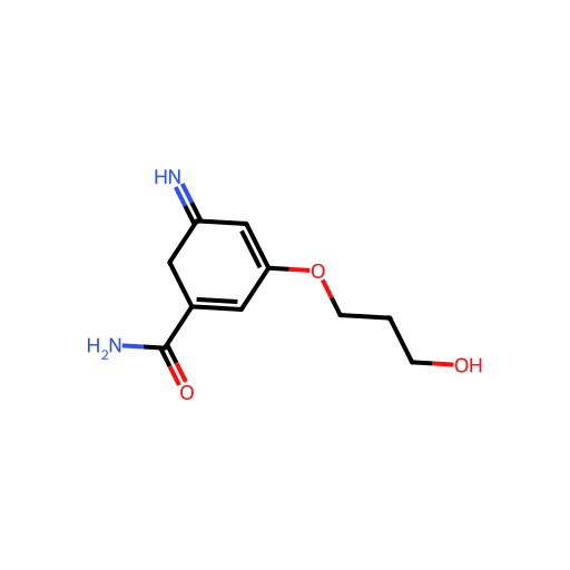 N=C1C=C(OCCCO)C=C(C(N)=O)C1